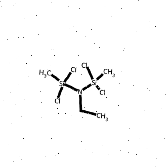 CCN([Si](C)(Cl)Cl)[Si](C)(Cl)Cl